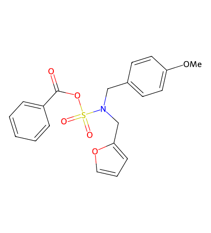 COc1ccc(CN(Cc2ccco2)S(=O)(=O)OC(=O)c2ccccc2)cc1